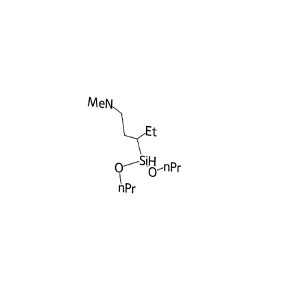 CCCO[SiH](OCCC)C(CC)CCNC